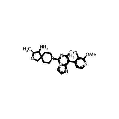 COc1nccc(-c2c(C)nc(N3CCC4(CC3)CO[C@@H](C)C4N)n3ccnc23)c1Cl